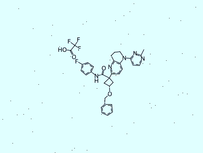 Cc1nccc(N2CCCc3nc(C4(C(=O)Nc5ccc(F)cc5)CC(OCc5ccccc5)C4)ccc32)n1.O=C(O)C(F)(F)F